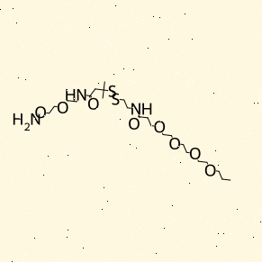 CCCOCCOCCOCCOCCC(=O)NCCSSC(C)(C)CC(=O)NCCOCCON